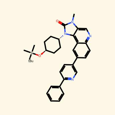 Cn1c(=O)n([C@H]2CC[C@H](O[Si](C)(C)C(C)(C)C)CC2)c2c3cc(-c4ccc(-c5ccccc5)nc4)ccc3ncc21